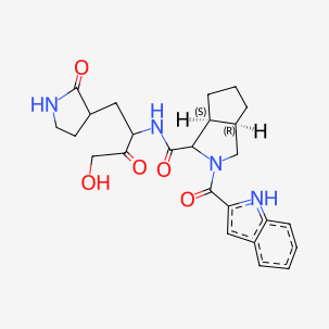 O=C1NCCC1CC(NC(=O)C1[C@H]2CCC[C@H]2CN1C(=O)c1cc2ccccc2[nH]1)C(=O)CO